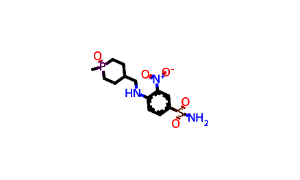 CP1(=O)CCC(CNc2ccc(S(N)(=O)=O)cc2[N+](=O)[O-])CC1